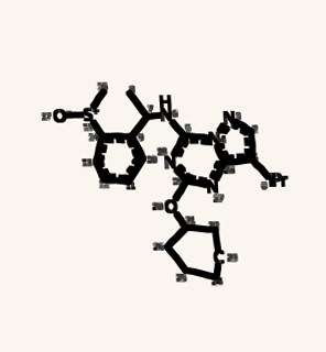 CC(C)c1cnn2c(NC(C)c3ccccc3[S+](C)[O-])nc(OC3CCCCC3)nc12